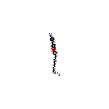 CCCCCCCCCCCCCC1CCC(C(=O)Oc2ccc(CCc3ccc(C#N)cc3)cc2)CC1